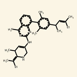 CC/C(C)=C\C(C)c1cc(C)c(-c2cccc3c(N)nc(NC4=CC(C)/C(=C(\C)CC)NC4)nc23)c(C)c1